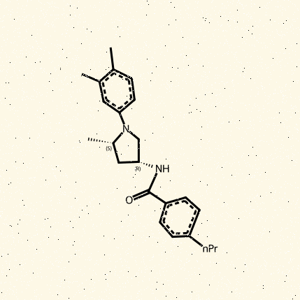 CCCc1ccc(C(=O)N[C@@H]2C[C@H](C)N(c3ccc(C)c(C)c3)C2)cc1